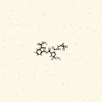 C[C@@]1(F)C[C@@H](C(=O)NCC2CC2(Cl)Cl)N(C(=O)Cn2nc(C(N)=O)c3ccccc32)C1